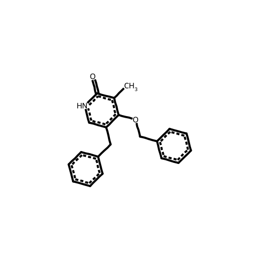 Cc1c(OCc2ccccc2)c(Cc2ccccc2)c[nH]c1=O